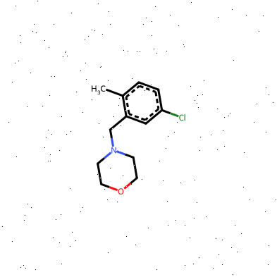 Cc1ccc(Cl)cc1CN1CCOCC1